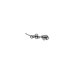 C=C[C@H]1OC(C)(C)O[C@H]1C(=O)Oc1ccc(-c2ccc(OC(=O)c3ccc(OCCCCCCCC)cc3)cc2)cc1